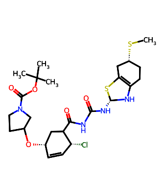 CS[C@@H]1CCC2=C(C1)S[C@@H](NC(=O)NC(=O)C1C[C@@H](OC3CCN(C(=O)OC(C)(C)C)C3)C=C[C@H]1Cl)N2